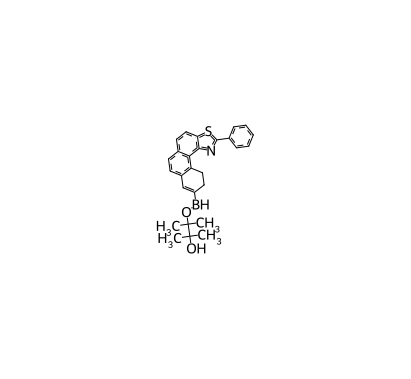 CC(C)(O)C(C)(C)OBC1=Cc2ccc3ccc4sc(-c5ccccc5)nc4c3c2CC1